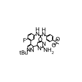 CC(C)(C)n1cc(-c2cc(NC(=O)Nc3ccc(S(C)(=O)=O)cc3)ccc2F)c(-c2ccnc(N)n2)n1